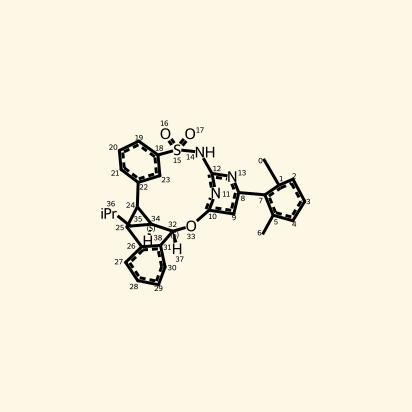 Cc1cccc(C)c1-c1cc2nc(n1)NS(=O)(=O)c1cccc(c1)C1Cc3ccccc3[C@@H](O2)[C@H]1CC(C)C